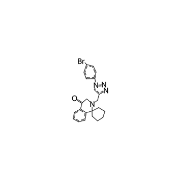 O=C1CN(Cc2cn(-c3ccc(Br)cc3)nn2)C2(CCCCC2)c2ccccc21